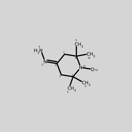 CC1(C)CC(=NN)CC(C)(C)N1[O]